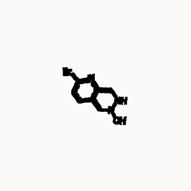 ON1C=c2ccc(Br)nc2=CN1